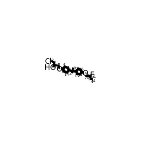 CC(C)(c1ccc(OCC(O)CCl)cc1)c1ccc(OCC(F)CF)cc1